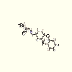 CC(C)(C)[S@@+]([O-])/N=C/c1ccc(Oc2ccccc2)c(F)c1